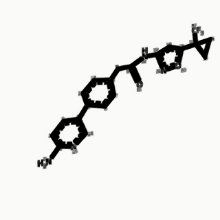 Nc1ccc(-c2ccc(CC(=O)Nc3cc(C4(C(F)(F)F)CC4)on3)cc2)cn1